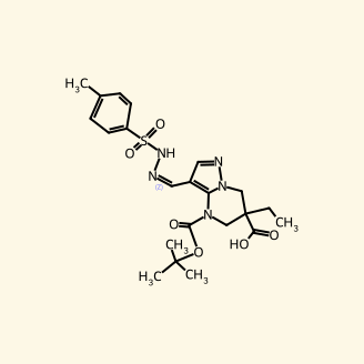 CCC1(C(=O)O)CN(C(=O)OC(C)(C)C)c2c(/C=N\NS(=O)(=O)c3ccc(C)cc3)cnn2C1